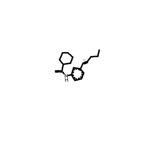 C=C(Nc1cccc(/C=C/CCC)c1)C1CCCCC1